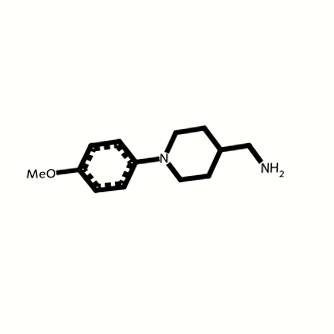 COc1ccc(N2CCC(CN)CC2)cc1